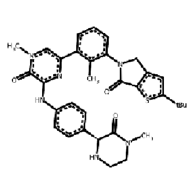 Cc1c(-c2cn(C)c(=O)c(Nc3ccc([C@@H]4NCCN(C)C4=O)cc3)n2)cccc1N1Cc2cc(C(C)(C)C)sc2C1=O